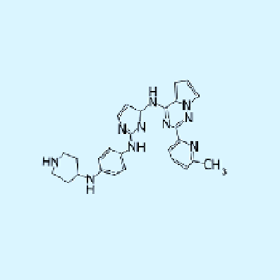 Cc1cccc(-c2nc(Nc3ccnc(Nc4ccc(NC5CCNCC5)cc4)n3)c3cccn3n2)n1